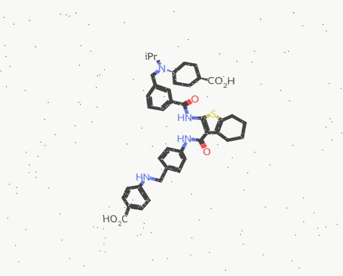 CC(C)N(Cc1cccc(C(=O)Nc2sc3c(c2C(=O)Nc2ccc(CNc4ccc(C(=O)O)cc4)cc2)CCCC3)c1)[C@H]1CC[C@H](C(=O)O)CC1